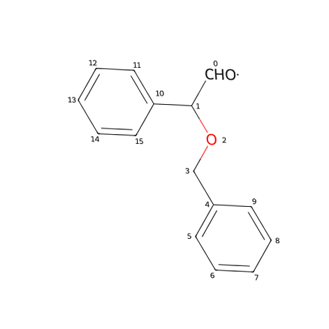 O=[C]C(OCc1ccccc1)c1ccccc1